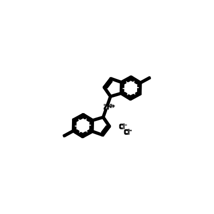 Cc1ccc2c(c1)C=C[CH]2[Zr+2][CH]1C=Cc2cc(C)ccc21.[Cl-].[Cl-]